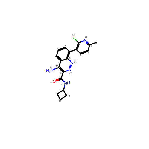 Cc1ccc(-c2cccc3c(N)c(C(=O)NC4CCC4)nnc23)c(F)n1